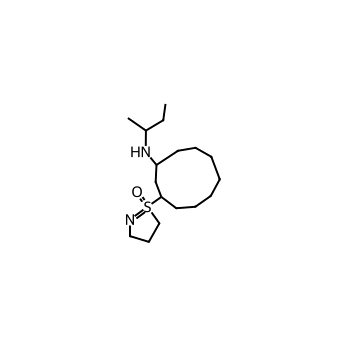 CCC(C)NC1CCCCCCCC(S2(=O)=NCCC2)C1